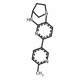 Cc1ccc(-c2ccc3c(n2)NC2CCN3C2)cn1